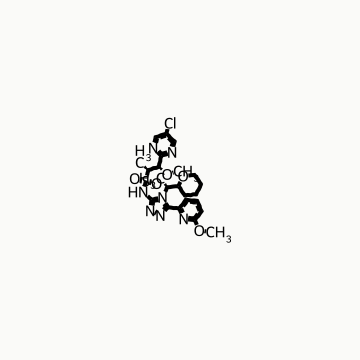 COc1cccc(-c2nnc(NS(=O)(=O)[C@@H](C)[C@H](OC)c3ncc(Cl)cn3)n2[C@@H](C)C2CCCCO2)n1